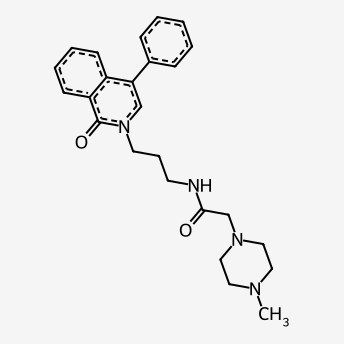 CN1CCN(CC(=O)NCCCn2cc(-c3ccccc3)c3ccccc3c2=O)CC1